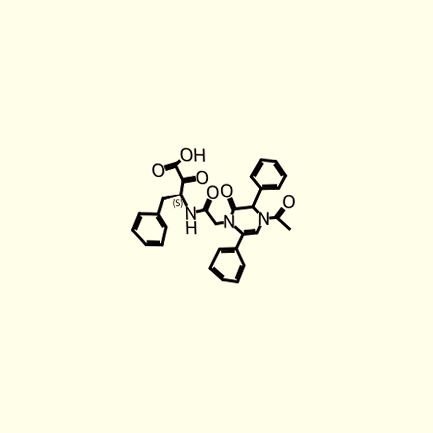 CC(=O)N1C=C(c2ccccc2)N(CC(=O)N[C@@H](Cc2ccccc2)C(=O)C(=O)O)C(=O)C1c1ccccc1